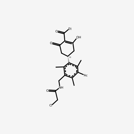 CCC(=O)C1=C(O)C[C@H](c2c(C)c(CNC(=O)CCl)c(C)c(C(C)=O)c2C)CC1=O